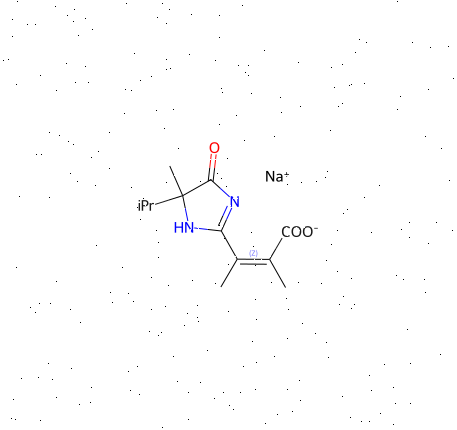 C/C(C(=O)[O-])=C(\C)C1=NC(=O)C(C)(C(C)C)N1.[Na+]